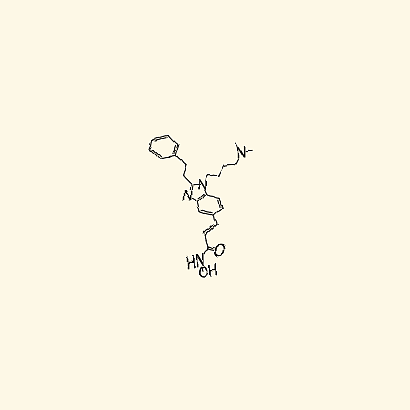 CN(C)CCCCn1c(CCc2ccccc2)nc2cc(C=CC(=O)NO)ccc21